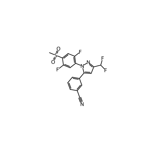 CS(=O)(=O)c1cc(F)c(-n2nc(C(F)F)cc2-c2cccc(C#N)c2)cc1F